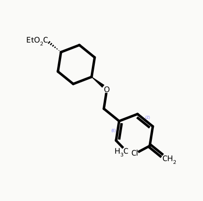 C=C(Cl)/C=C\C(=C/C)CO[C@H]1CC[C@H](C(=O)OCC)CC1